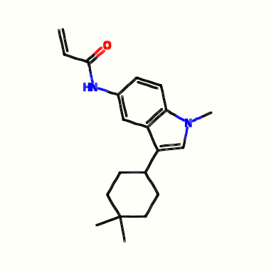 C=CC(=O)Nc1ccc2c(c1)c(C1CCC(C)(C)CC1)cn2C